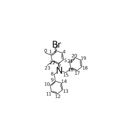 Cc1c(Br)ccc(N(Cc2ccccc2)Cc2ccccc2)c1C